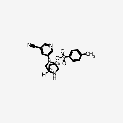 Cc1ccc(S(=O)(=O)O[C@@]23CN[C@H](CN2c2cncc(C#N)c2)C3)cc1